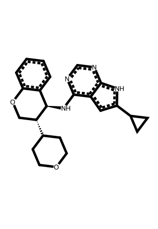 c1ccc2c(c1)OC[C@@H](C1CCOCC1)[C@@H]2Nc1ncnc2[nH]c(C3CC3)cc12